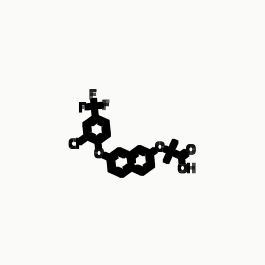 CC(C)(Oc1ccc2ccc(Oc3ccc(C(F)(F)F)cc3Cl)cc2c1)C(=O)O